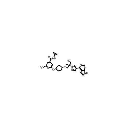 N#CCC1(n2cc(-c3ncnc4[nH]ccc34)cn2)CN(C2CCC(Oc3cc(C(=O)NC4CC4)cc(C(F)(F)F)n3)CC2)C1